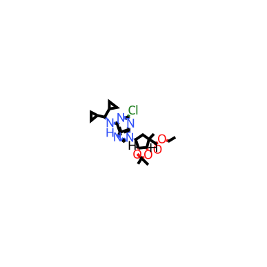 CCOC(=O)C1(C)C[C@@H](n2cnc3c(NC(C4CC4)C4CC4)nc(Cl)nc32)[C@@H]2OC(C)(C)O[C@@H]21